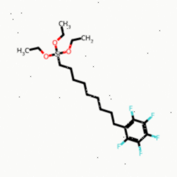 CCO[Si](CCCCCCCCCc1c(F)c(F)c(F)c(F)c1F)(OCC)OCC